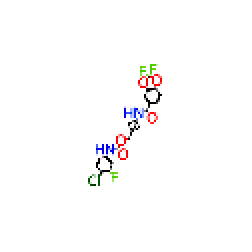 O=C(Nc1ccc(Cl)c(F)c1)OCC12CC(NC(=O)c3ccc4c(c3)OC(F)(F)O4)(C1)C2